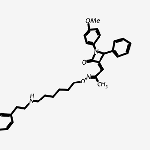 COc1ccc(N2C(=O)C(=CC(C)=NOCCCCCCNCCc3ccccc3)C2c2ccccc2)cc1